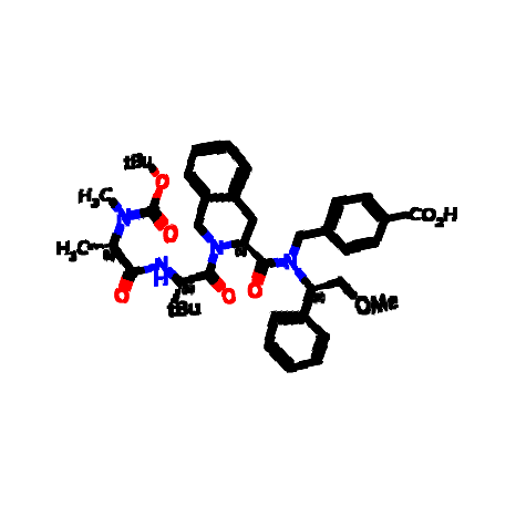 COC[C@@H](c1ccccc1)N(Cc1ccc(C(=O)O)cc1)C(=O)[C@@H]1Cc2ccccc2CN1C(=O)[C@@H](NC(=O)[C@H](C)N(C)C(=O)OC(C)(C)C)C(C)(C)C